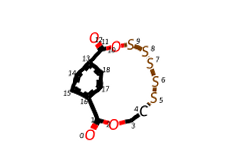 O=C1OCCSSSSSOC(=O)c2ccc1cc2